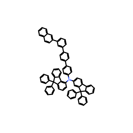 c1ccc(C2(c3ccccc3)c3ccccc3-c3ccc(N(c4ccc(-c5ccc(-c6cccc(-c7ccc8ccccc8c7)c6)cc5)cc4)c4cccc5c4-c4ccccc4C5(c4ccccc4)c4ccccc4)cc32)cc1